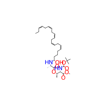 CC/C=C\C/C=C\C/C=C\C/C=C\C/C=C\CCCC(O)N[C@@H](C)C(=O)O[C@H](C)[C@H](NC(=O)OC(C)(C)C)C(=O)OC